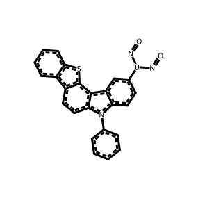 O=NB(N=O)c1ccc2c(c1)c1c3sc4ccccc4c3ccc1n2-c1ccccc1